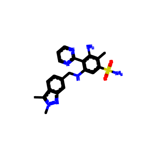 Cc1c(S(N)(=O)=O)cc(NCc2ccc3c(C)n(C)nc3c2)c(-c2ncccn2)c1N